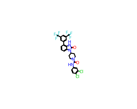 O=C(Nc1ccc(Cl)c(Cl)c1)N1CCC(n2c(=O)[nH]c3c(-c4cc(C(F)(F)F)cc(C(F)(F)F)c4)cccc32)CC1